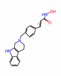 O=C(/C=C/c1ccc(CN2CCc3c([nH]c4ccccc34)C2)cc1)NO